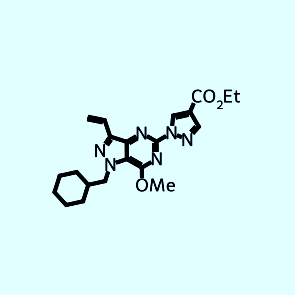 C=Cc1nn(CC2CCCCC2)c2c(OC)nc(-n3cc(C(=O)OCC)cn3)nc12